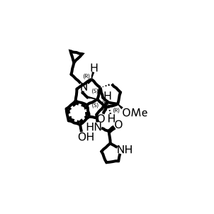 CO[C@]12CC[C@@]3(C[C@@H]1CNC(=O)C1CCCN1)[C@H]1Cc4ccc(O)c5c4[C@@]3(CCN1CC1CC1)[C@H]2O5